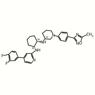 Cc1nc(-c2ccc(N3CCC[C@H](N[C@@H]4CCCC[C@H]4Nc4cc(-c5ccc(F)c(F)c5)ccn4)C3)cc2)no1